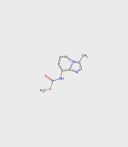 COC(=O)Nc1cccn2c(C)cnc12